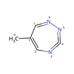 CC1=CN=C=NN=C1